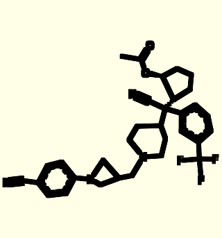 CC(=O)O[C@H]1CCC[C@@H]1C(C#N)(c1cccc(C(F)(F)F)c1)C1CCN(CC2CN(c3ccc(C#N)cc3)C2)CC1